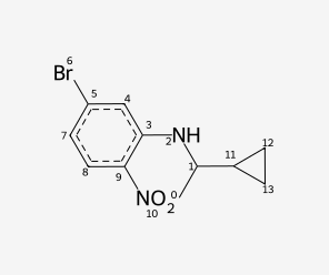 CC(Nc1cc(Br)ccc1[N+](=O)[O-])C1CC1